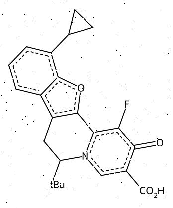 CC(C)(C)C1Cc2c(oc3c(C4CC4)cccc23)-c2c(F)c(=O)c(C(=O)O)cn21